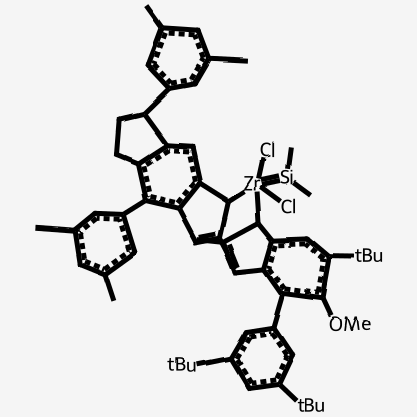 COc1c(C(C)(C)C)cc2c(c1-c1cc(C(C)(C)C)cc(C(C)(C)C)c1)C=C(C)[CH]2[Zr]([Cl])([Cl])([CH]1C(C)=Cc2c1cc1c(c2-c2cc(C)cc(C)c2)CCC1c1cc(C)cc(C)c1)=[Si](C)C